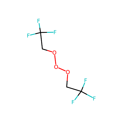 FC(F)(F)COOOCC(F)(F)F